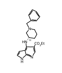 CCOC(=O)c1cnc2[nH]ccc2c1N[C@H]1CCCN(Cc2ccccc2)C1